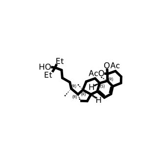 CCC(O)(CC)CCC[C@@H](C)[C@H]1CC[C@H]2C3=CC=C4CCCC(OC(C)=O)(OC(C)=O)[C@]4(C)[C@H]3CC[C@]12C